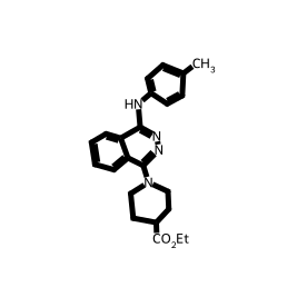 CCOC(=O)C1CCN(c2nnc(Nc3ccc(C)cc3)c3ccccc23)CC1